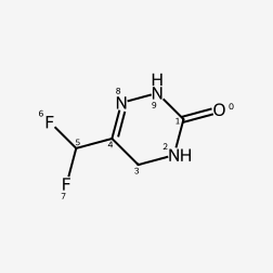 O=C1NCC(C(F)F)=NN1